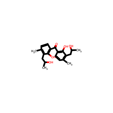 Cc1ccc(C(=O)c2ccc(C)c(CC(C)O)c2O)c(O)c1CC(C)O